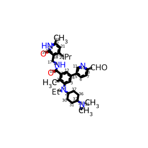 CCN(c1cc(-c2ccc(C=O)nc2)cc(C(=O)NCc2c(C(C)C)cc(C)[nH]c2=O)c1C)C1CCC(N(C)C)CC1